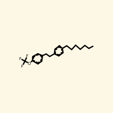 CCCCCCCc1ccc(CCc2ccc(OC(F)(F)F)cc2)cc1